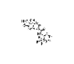 CC1(C)C(=O)Nc2cc(C(=O)Nc3ccccc3C(F)(F)F)ccc21